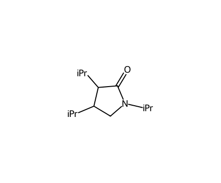 CC(C)C1CN(C(C)C)C(=O)C1C(C)C